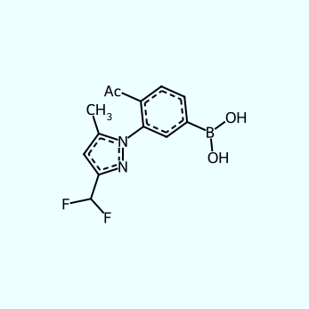 CC(=O)c1ccc(B(O)O)cc1-n1nc(C(F)F)cc1C